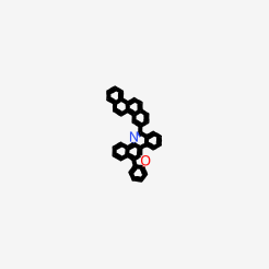 c1ccc2c(c1)ccc1c3cc(-c4nc5c6ccccc6c6c7ccccc7oc6c5c5ccccc45)ccc3ccc21